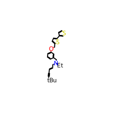 CCN(CC=CC#CC(C)(C)C)Cc1cccc(OCc2ccc(-c3ccsc3)s2)c1